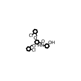 O=C(Nc1cccc(O)c1)c1cc(OCc2ccccc2Cl)cc(OCc2ccccc2Cl)c1